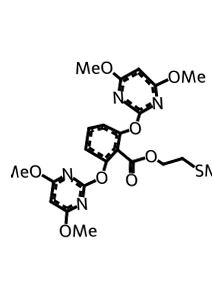 COc1cc(OC)nc(Oc2cccc(Oc3nc(OC)cc(OC)n3)c2C(=O)OCCSC)n1